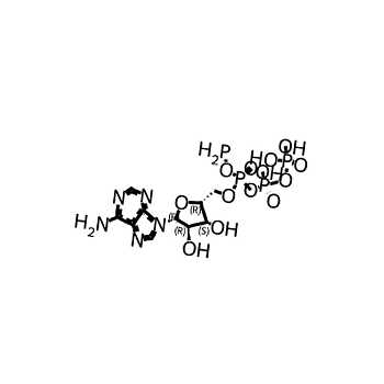 Nc1ncnc2c1ncn2[C@@H]1O[C@H](COP(=O)(OP)OP(=O)(O)OP(=O)(O)O)[C@@H](O)[C@H]1O